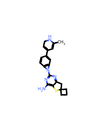 CC1=CC(c2ccc3c(c2)N3c2nc(N)c3c(n2)CC2(CCC2)S3)=CCN1